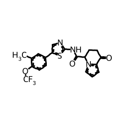 Cc1cc(-c2cnc(NC(=O)C3CCC(=O)c4cccn43)s2)ccc1OC(F)(F)F